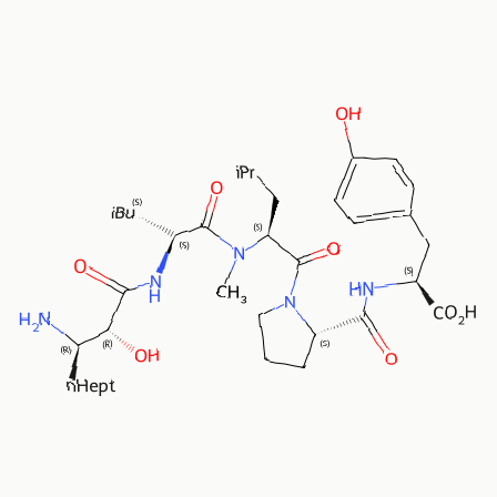 CCCCCCC[C@@H](N)[C@@H](O)C(=O)N[C@H](C(=O)N(C)[C@@H](CC(C)C)C(=O)N1CCC[C@H]1C(=O)N[C@@H](Cc1ccc(O)cc1)C(=O)O)[C@@H](C)CC